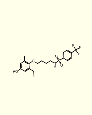 CCc1cc(O)cc(C)c1OCCCCNS(=O)(=O)c1ccc(C(F)(F)F)cc1